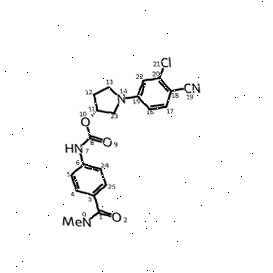 CNC(=O)c1ccc(NC(=O)O[C@@H]2CCN(c3ccc(C#N)c(Cl)c3)C2)cc1